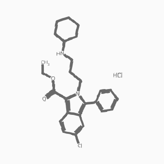 CCOC(=O)c1c2ccc(Cl)cc2c(-c2ccccc2)n1CCCNC1CCCCC1.Cl